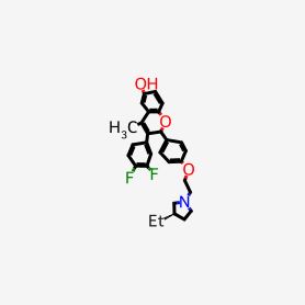 CC[C@@H]1CCN(CCOc2ccc(C3Oc4ccc(O)cc4C(C)=C3c3ccc(F)c(F)c3)cc2)C1